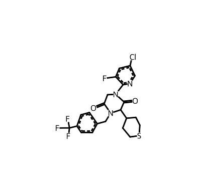 O=C1C(C2CCSCC2)N(Cc2ccc(C(F)(F)F)cc2)C(=O)CN1c1ncc(Cl)cc1F